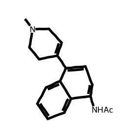 CC(=O)Nc1ccc(C2=CCN(C)CC2)c2ccccc12